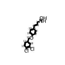 ONCC=Cc1ccc(OCc2ccc(Cl)c(Cl)c2)cc1